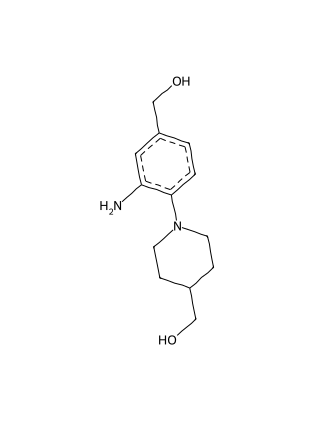 Nc1cc(CO)ccc1N1CCC(CO)CC1